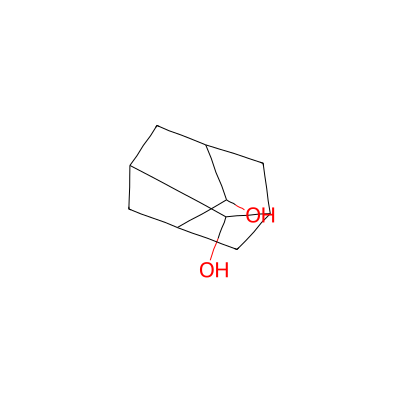 OC1C2CC3CC1CC(C2)C3O